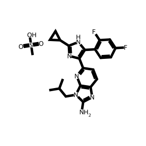 CC(C)Cn1c(N)nc2ccc(-c3nc(C4CC4)[nH]c3-c3ccc(F)cc3F)nc21.CS(=O)(=O)O